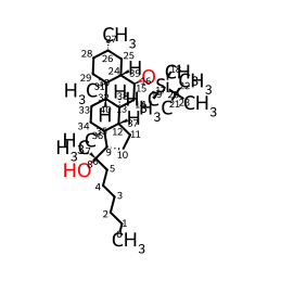 CCCCCC[C@](C)(O)[C@H]1CC[C@H]2[C@@H]3C[C@H](O[Si](C)(C)C(C)(C)C)[C@H]4C[C@@H](C)CC[C@]4(C)[C@H]3CC[C@@]21C